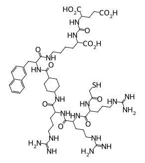 N=C(N)NCCCC(NC(=O)CS)C(=O)NC(CCCNC(=N)N)C(=O)NC(CCCNC(=N)N)C(=O)NC1CCC(C(=O)NC(Cc2ccc3ccccc3c2)C(=O)NCCCCC(NC(=O)NC(CCC(=O)O)C(=O)O)C(=O)O)CC1